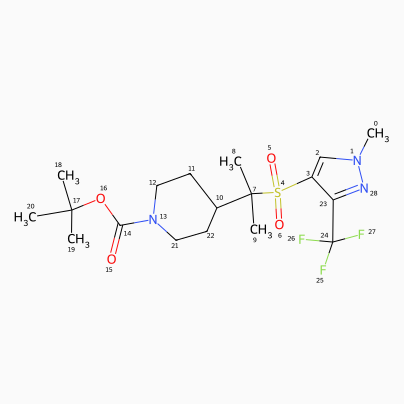 Cn1cc(S(=O)(=O)C(C)(C)C2CCN(C(=O)OC(C)(C)C)CC2)c(C(F)(F)F)n1